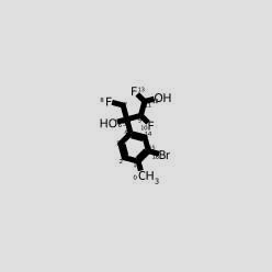 Cc1ccc(C(O)(CF)C(F)C(O)F)cc1Br